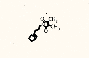 CC1=C(C)C(=O)N(CCCC2=CC3CCC2C3)C1=O